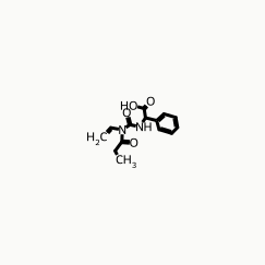 C=CN(C(=O)CC)C(=O)NC(C(=O)O)c1ccccc1